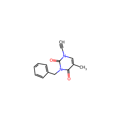 C#Cn1cc(C)c(=O)n(Cc2ccccc2)c1=O